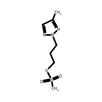 Cc1cnn(CCCOS(C)(=O)=O)n1